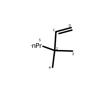 C=CC(C)(C)[CH]CC